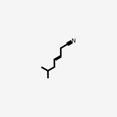 CC(C)C/C=C/CC#N